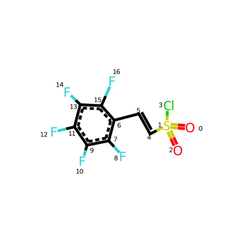 O=S(=O)(Cl)C=Cc1c(F)c(F)c(F)c(F)c1F